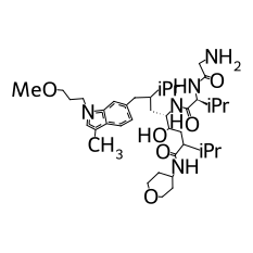 COCCCn1cc(C)c2ccc(CC(C[C@H](NC(=O)[C@@H](NC(=O)CN)C(C)C)C(O)CC(C(=O)NC3CCOCC3)C(C)C)C(C)C)cc21